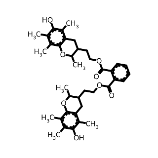 Cc1c(C)c2c(c(C)c1O)CC(CCOC(=O)c1ccccc1C(=O)OCCC1Cc3c(C)c(O)c(C)c(C)c3OC1C)C(C)O2